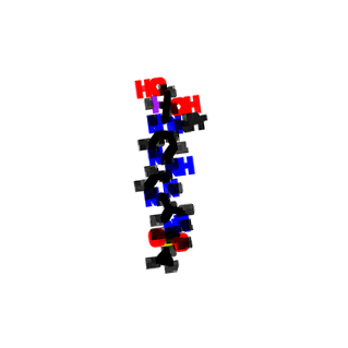 CC(C)n1c([C@](O)(I)CO)nc2cnc(Nc3ccnc(-c4cnn(S(=O)(=O)C5CC5)c4)n3)cc21